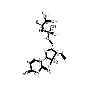 C=C[C@@H]1[C@@H](COP(=O)(O)N[C@@H](C)C(=O)O)O[C@@H](n2ccc(=O)[nH]c2=O)[C@]1(C)F